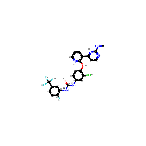 CNc1nccc(-c2cccnc2Oc2ccc(NC(=O)Nc3cc(C(F)(F)F)ccc3F)cc2Cl)n1